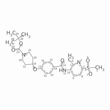 Cc1nc(S(C)(=O)=O)ccc1NC(=O)c1ccc(OC2CCN(C(=O)OC(C)(C)C)CC2)cc1